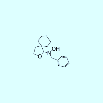 ON(Cc1ccccc1)C1OCCC12CCCCC2